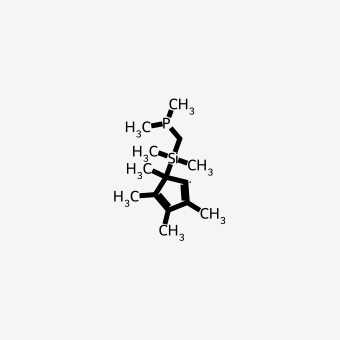 CC1=[C]C(C)([Si](C)(C)CP(C)C)C(C)=C1C